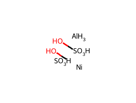 O=S(=O)(O)O.O=S(=O)(O)O.[AlH3].[Ni]